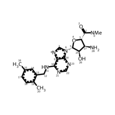 CNC(=O)[C@H]1O[C@@H](n2cnc3c(NCc4cc(C)ccc4C)ncnc32)[C@H](O)[C@@H]1N